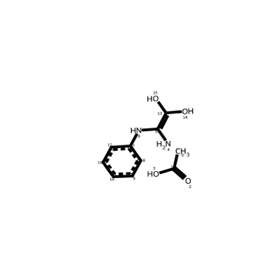 CC(=O)O.NC(Nc1ccccc1)=C(O)O